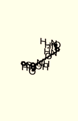 NC(=O)Nc1cccc(CNCCCOCCCCCCNC[C@H](O)c2ccc(OCc3ccccc3)c3[nH]c(=O)ccc23)c1